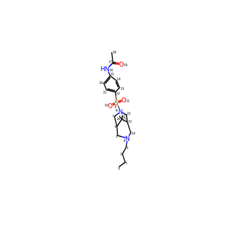 CCCCN1CC2CN(S(=O)(=O)c3ccc(NC(C)=O)cc3)CC(C1)C2(C)C